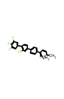 C=C(C)/C=C\C(=C/C)c1ccc(-c2ccc(-c3cc(F)c(F)c(F)c3)c(F)c2)cc1